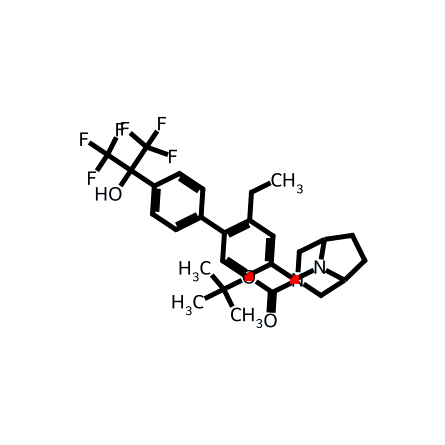 CCc1cc(CN2C3CCC2CN(C(=O)OC(C)(C)C)C3)ccc1-c1ccc(C(O)(C(F)(F)F)C(F)(F)F)cc1